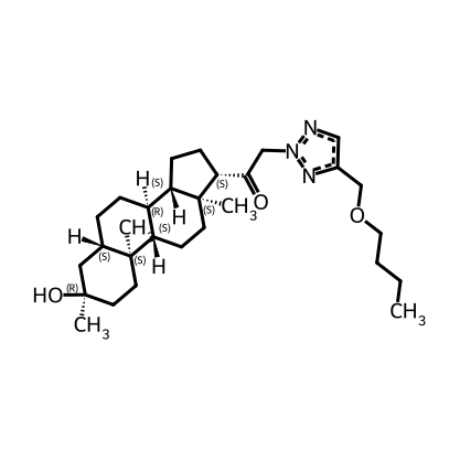 CCCCOCc1cnn(CC(=O)[C@H]2CC[C@H]3[C@@H]4CC[C@H]5C[C@](C)(O)CC[C@]5(C)[C@H]4CC[C@]23C)n1